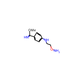 COC(=N)c1ccc(NCCON)cc1